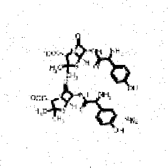 CC1(C)S[C@@H]2[C@H](NC(=O)C(N)c3ccc(O)cc3)C(=O)N2[C@H]1C(=O)[O-].CC1(C)S[C@@H]2[C@H](NC(=O)C(N)c3ccc(O)cc3)C(=O)N2[C@H]1C(=O)[O-].[Na+].[Na+]